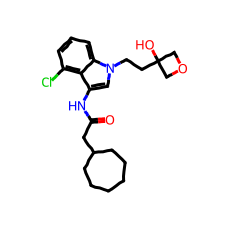 O=C(CC1CCCCCC1)Nc1cn(CCC2(O)COC2)c2cccc(Cl)c12